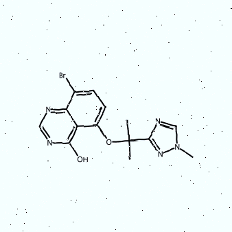 Cn1cnc(C(C)(C)Oc2ccc(Br)c3ncnc(O)c23)n1